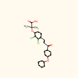 CC(C)(Oc1ccc(C=CC(=O)c2ccc(Oc3ccccc3)cc2)c(Cl)c1Cl)C(=O)O